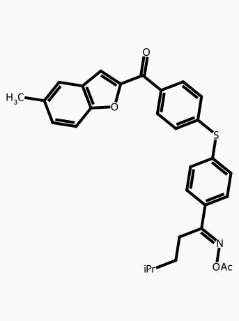 CC(=O)ON=C(CCC(C)C)c1ccc(Sc2ccc(C(=O)c3cc4cc(C)ccc4o3)cc2)cc1